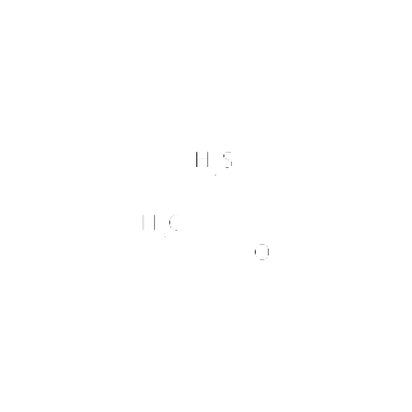 CC=O.S